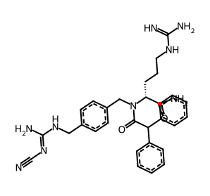 N#CN=C(N)NCc1ccc(CN(C(=O)C(c2ccccc2)c2ccccc2)[C@H](CCCNC(=N)N)C(N)=O)cc1